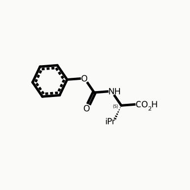 CC(C)[C@H](NC(=O)Oc1ccccc1)C(=O)O